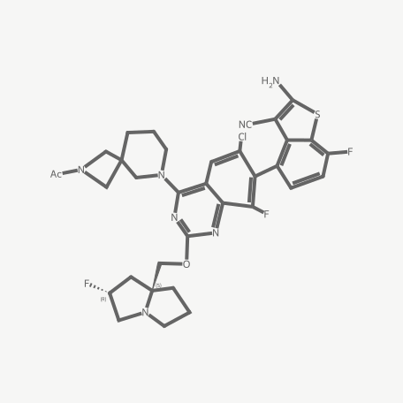 CC(=O)N1CC2(CCCN(c3nc(OC[C@@]45CCCN4C[C@H](F)C5)nc4c(F)c(-c5ccc(F)c6sc(N)c(C#N)c56)c(Cl)cc34)C2)C1